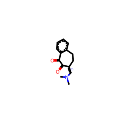 CN(C)/C=C1/CCc2ccccc2C(=O)C1=O